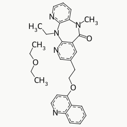 CCN1c2ncc(CCOc3ccnc4ccccc34)cc2C(=O)N(C)c2cccnc21.CCOCC